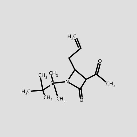 C=CCC1C(C(C)=O)C(=O)N1[Si](C)(C)C(C)(C)C